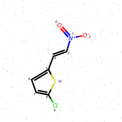 O=[N+]([O-])C=Cc1ccc(Cl)s1